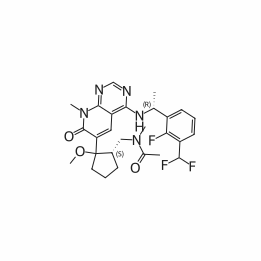 COC1(c2cc3c(N[C@H](C)c4cccc(C(F)F)c4F)ncnc3n(C)c2=O)CCC[C@H]1CN(C)C(C)=O